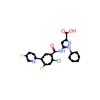 O=C(O)c1cc(NC(=O)c2cc(-c3ccc(F)cn3)c(F)cc2Cl)n(-c2ccccc2)n1